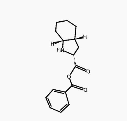 O=C(OC(=O)[C@H]1C[C@H]2CCCC[C@H]2N1)c1ccccc1